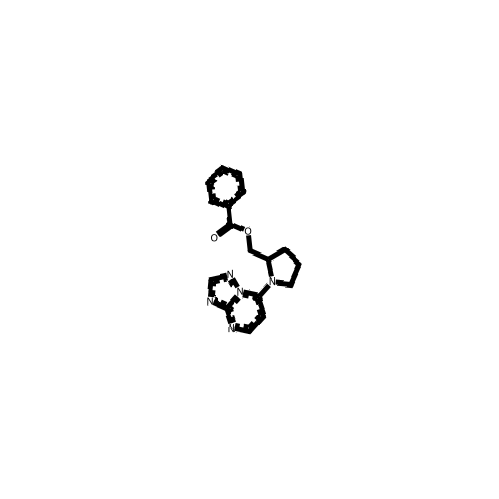 O=C(OCC1CCCN1c1ccnc2ncnn12)c1ccccc1